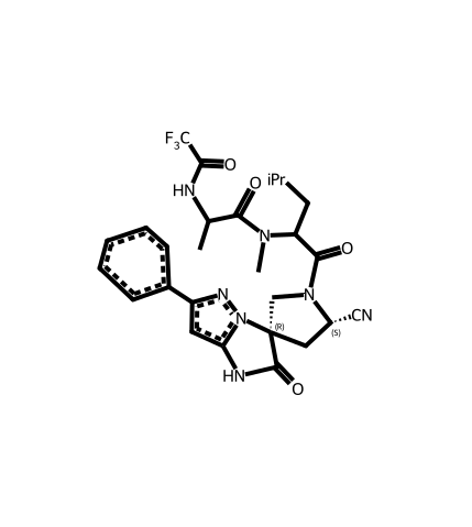 CC(C)CC(C(=O)N1C[C@]2(C[C@H]1C#N)C(=O)Nc1cc(-c3ccccc3)nn12)N(C)C(=O)C(C)NC(=O)C(F)(F)F